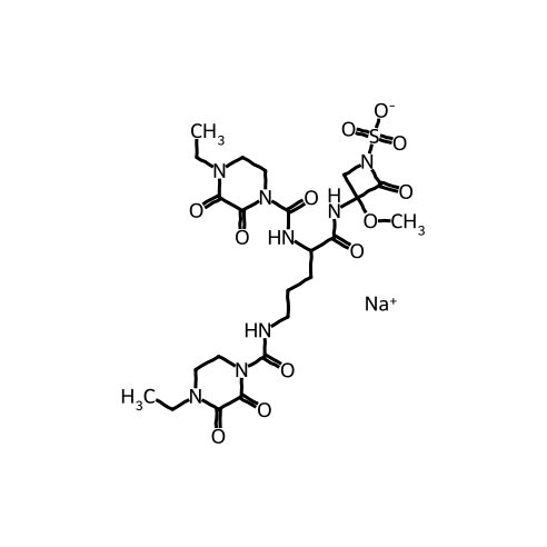 CCN1CCN(C(=O)NCCCC(NC(=O)N2CCN(CC)C(=O)C2=O)C(=O)NC2(OC)CN(S(=O)(=O)[O-])C2=O)C(=O)C1=O.[Na+]